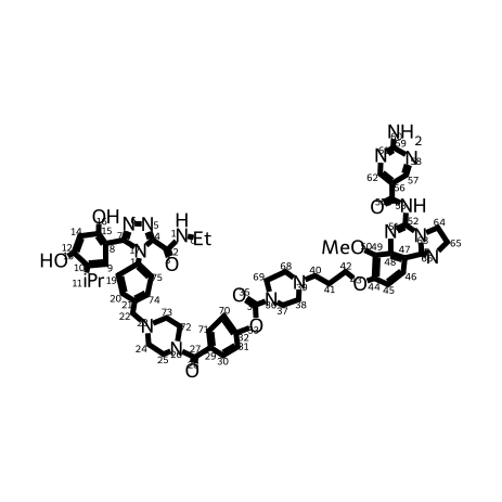 CCNC(=O)c1nnc(-c2cc(C(C)C)c(O)cc2O)n1-c1ccc(CN2CCN(C(=O)c3ccc(OC(=O)N4CCN(CCCOc5ccc6c(c5OC)N=C(NC(=O)c5cnc(N)nc5)N5CCN=C65)CC4)cc3)CC2)cc1